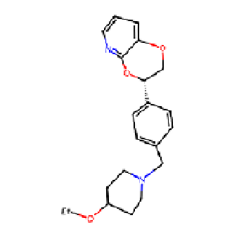 CCOC1CCN(Cc2ccc([C@H]3COc4cccnc4O3)cc2)CC1